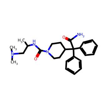 CC(CN(C)C)NC(=O)N1CCC(C(C(N)=O)(c2ccccc2)c2ccccc2)CC1